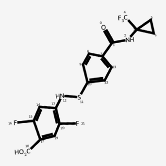 O=C(NC1(C(F)(F)F)CC1)c1ccc(SNc2cc(F)c(C(=O)O)cc2F)cc1